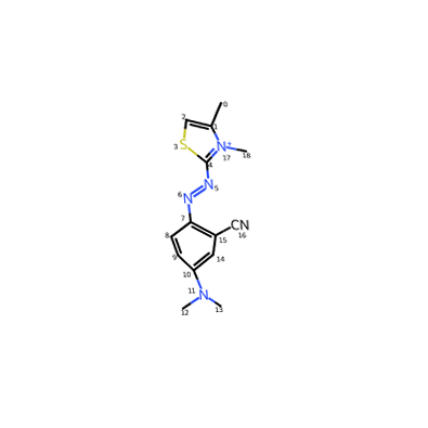 Cc1csc(N=Nc2ccc(N(C)C)cc2C#N)[n+]1C